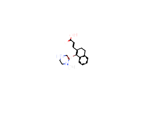 CN1CCNCC1.O=C(O)C=CC1=C(Br)c2ccccc2CC1